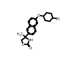 CCC1CCC(Oc2ccc3cc(C4(C)COC(=O)N4)ccc3c2)CC1